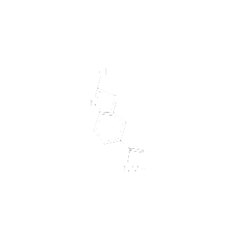 CNC(=O)c1ccc2nc(Cl)sc2c1